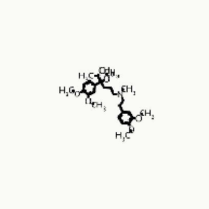 COc1ccc(CCN(C)CCCC(OC)(c2ccc(OC)c(OC)c2)C(C)C)cc1OC